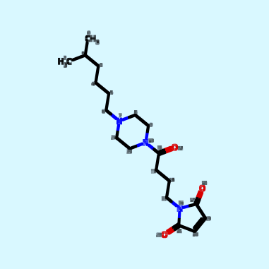 CC(C)CCCCN1CCN(C(=O)CCCN2C(=O)C=CC2=O)CC1